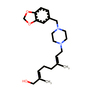 C/C(=C\CC/C(C)=C/CN1CCN(Cc2ccc3c(c2)OCO3)CC1)CO